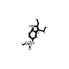 CCc1[nH]c2ccc(O[PH](=O)OC)cc2c1CC